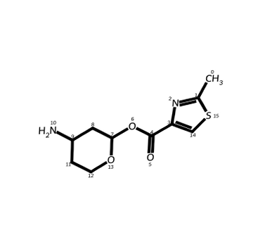 Cc1nc(C(=O)OC2CC(N)CCO2)cs1